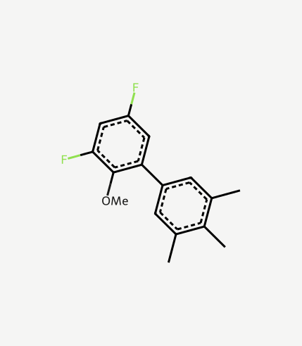 COc1c(F)cc(F)cc1-c1cc(C)c(C)c(C)c1